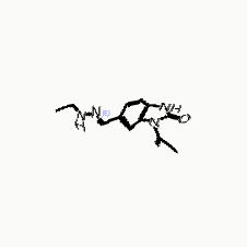 CCN/N=C/c1ccc2[nH]c(=O)n(C(C)C)c2c1